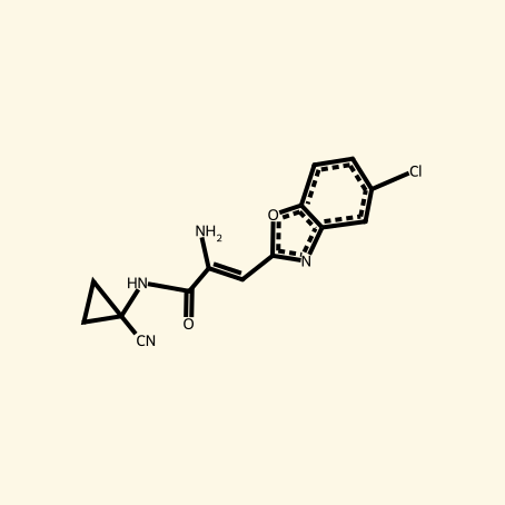 N#CC1(NC(=O)C(N)=Cc2nc3cc(Cl)ccc3o2)CC1